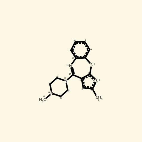 Cc1cc2c(s1)Sc1ccccc1N=C2N1CCN(C)CC1